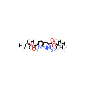 CC(C)(C)OC(=O)c1ccc(CC(N)C(=O)OC(C)(C)C)c(N)n1